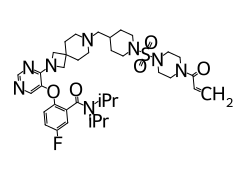 C=CC(=O)N1CCN(S(=O)(=O)N2CCC(CN3CCC4(CC3)CN(c3ncncc3Oc3ccc(F)cc3C(=O)N(C(C)C)C(C)C)C4)CC2)CC1